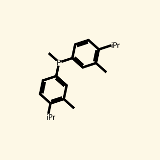 Cc1cc(P(C)c2ccc(C(C)C)c(C)c2)ccc1C(C)C